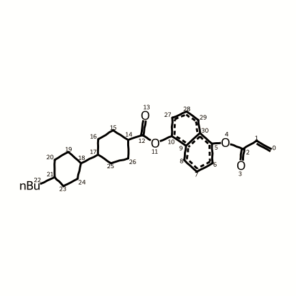 C=CC(=O)Oc1cccc2c(OC(=O)C3CCC(C4CCC(CCCC)CC4)CC3)cccc12